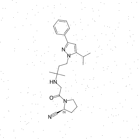 CC(C)c1cc(-c2ccccc2)nn1CCC(C)(C)NCC(=O)N1CCC[C@H]1C#N